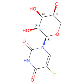 O=c1[nH]c(=O)n([C@@H]2OC[C@H](O)[C@H](O)[C@@H]2O)cc1F